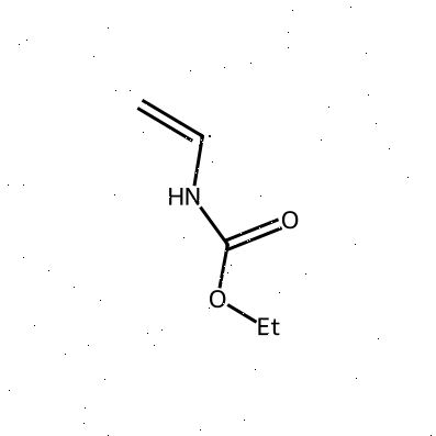 C=[C]NC(=O)OCC